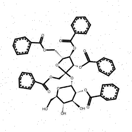 O=C(OC[C@H]1O[C@@](COC(=O)c2ccccc2)(O[C@H]2O[C@H](CO)[C@@H](O)[C@H](O)[C@H]2OC(=O)c2ccccc2)[C@@H](OC(=O)c2ccccc2)[C@@H]1OC(=O)c1ccccc1)c1ccccc1